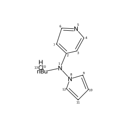 CCCCN(c1ccncc1)n1cccc1.Cl